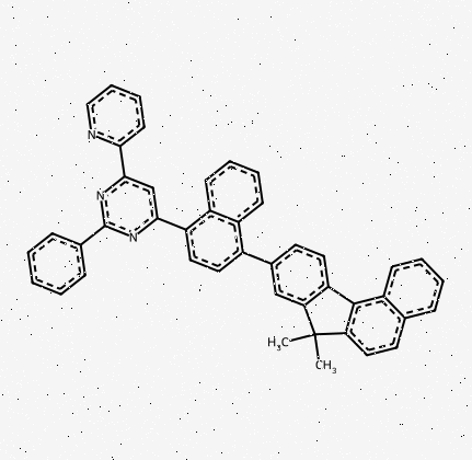 CC1(C)c2cc(-c3ccc(-c4cc(-c5ccccn5)nc(-c5ccccc5)n4)c4ccccc34)ccc2-c2c1ccc1ccccc21